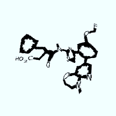 CN1CCOc2cc(-c3ccc(OCF)cc3-c3csc(N(C)C(=O)C(CC(=O)O)Cc4ccccc4)n3)cnc21